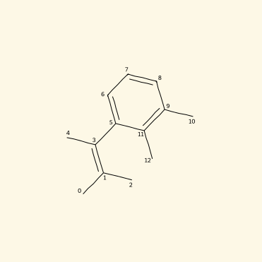 CC(C)=C(C)c1cccc(C)c1C